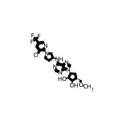 COC[C@H]1C[C@@H](n2cnc3c(N[C@H]4CCN(c5ncc(C(F)(F)F)cc5Cl)C4)ncnc32)[C@H](O)[C@@H]1O